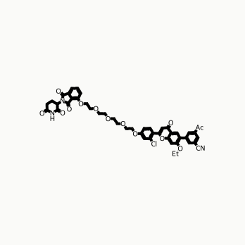 CCOc1cc2oc(-c3ccc(OCCOCCOCCOCCOc4cccc5c4C(=O)N(C4CCC(=O)NC4=O)C5=O)cc3Cl)cc(=O)c2cc1-c1cc(C#N)cc(C(C)=O)c1